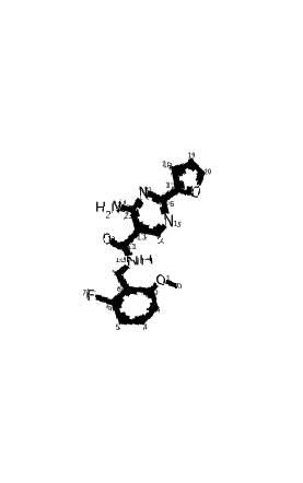 COc1cccc(F)c1CNC(=O)c1cnc(-c2ccco2)nc1N